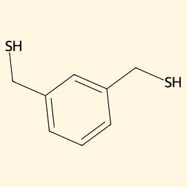 SCc1cccc(CS)c1